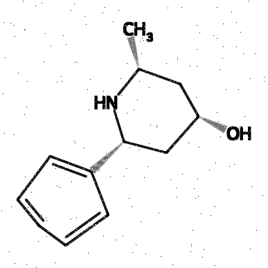 C[C@@H]1C[C@H](O)C[C@H](c2ccccc2)N1